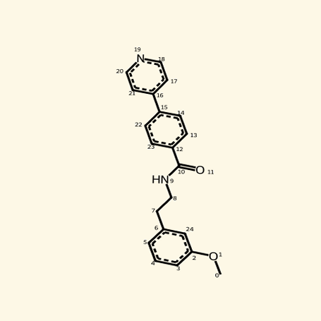 COc1cccc(CCNC(=O)c2ccc(-c3ccncc3)cc2)c1